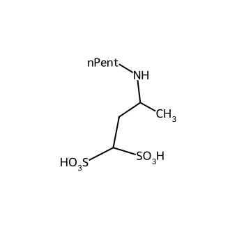 CCCCCNC(C)CC(S(=O)(=O)O)S(=O)(=O)O